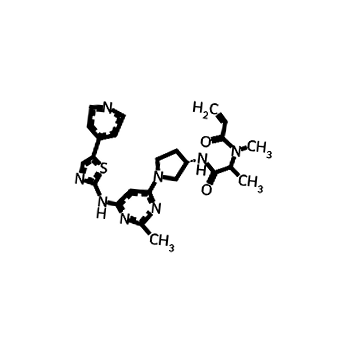 C=CC(=O)N(C)C(C)C(=O)N[C@H]1CCN(c2cc(Nc3ncc(-c4ccncc4)s3)nc(C)n2)C1